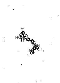 COc1cc(N2CCOC2=O)ccc1Nc1nc2ccc(-c3ccc(NC(=O)[C@H](NC(=O)O)c4ccc(F)cc4)cc3)cn2n1